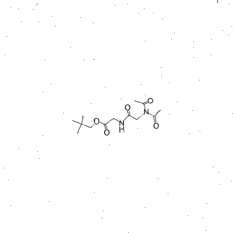 CC(=O)N(CC(=O)NCC(=O)OCC(C)(C)C)C(C)=O